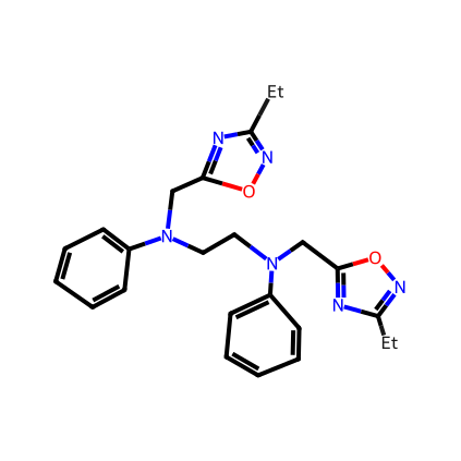 CCc1noc(CN(CCN(Cc2nc(CC)no2)c2ccccc2)c2ccccc2)n1